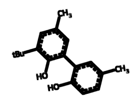 Cc1ccc(O)c(-c2cc(C)cc(C(C)(C)C)c2O)c1